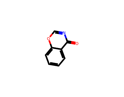 O=c1n[c]oc2ccccc12